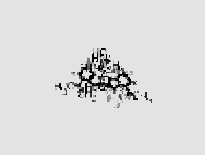 CC.CC1=Cc2c(C(C)C)cccc2[CH]1[Zr]([CH3])([SiH3])[CH]1C(C)=Cc2c(C(C)C)cccc21.Cl.Cl